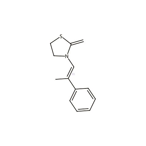 C=C1SCCN1/C=C(\C)c1ccccc1